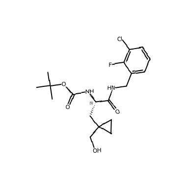 CC(C)(C)OC(=O)N[C@@H](CC1(CO)CC1)C(=O)NCc1cccc(Cl)c1F